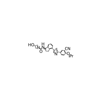 CC(C)Oc1ccc(-c2ncc(-c3cccc4c3CC[C@H]4NC(=O)N3CC(O)C3)s2)cc1C#N